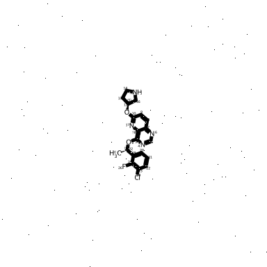 C[C@H](Oc1ncnc2ccc(O[C@H]3CCNC3)nc12)c1cccc(Cl)c1F